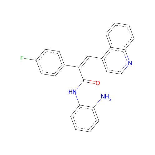 Nc1ccccc1NC(=O)C(=Cc1ccnc2ccccc12)c1ccc(F)cc1